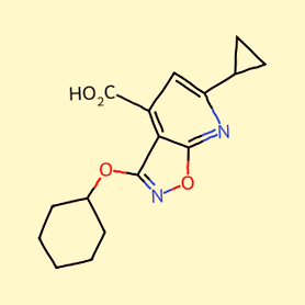 O=C(O)c1cc(C2CC2)nc2onc(OC3CCCCC3)c12